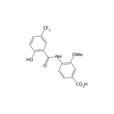 COc1cc(C(=O)O)ccc1NC(=O)c1cc(C(F)(F)F)ccc1O